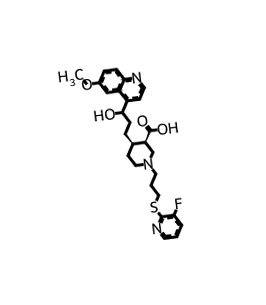 COc1ccc2nccc(C(O)CC[C@@H]3CCN(CCCSc4ncccc4F)C[C@@H]3C(=O)O)c2c1